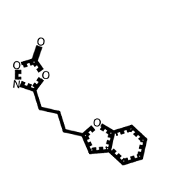 O=c1onc(CCCc2cc3ccccc3o2)o1